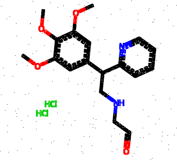 COc1cc(C(CNCC=O)c2ccccn2)cc(OC)c1OC.Cl.Cl